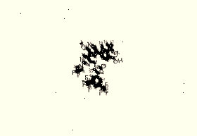 COc1ncc(-c2ccc(C(=O)O)c(C(C)(C)C)c2C)cc1-c1cnc(N2CC(F)(F)C2)nc1CN1C(=O)O[C@H](c2cc(C(F)(F)F)cc(C(F)(F)F)c2)[C@@H]1C